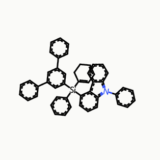 C1=CCCC([Si](c2ccccc2)(c2cc(-c3ccccc3)cc(-c3ccccc3)c2)c2cccc3c2c2ccccc2n3-c2ccccc2)=C1